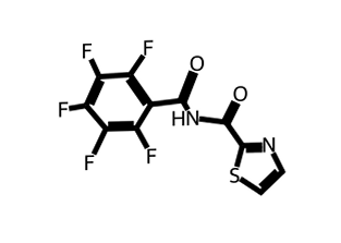 O=C(NC(=O)c1c(F)c(F)c(F)c(F)c1F)c1nccs1